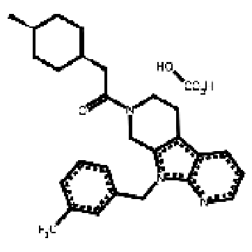 C[C@H]1CC[C@@H](CC(=O)N2CCc3c(n(Cc4cccc(C(F)(F)F)c4)c4ncccc34)C2)CC1.O=C(O)O